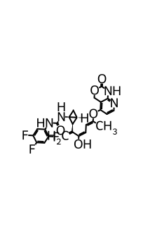 C=C(/C(O)=C\C=C(/C)Oc1ccnc2c1COC(=O)N2)[C@@H]1[C@@H]2C[C@@]12NC(=O)Nc1cc(F)c(F)cc1F